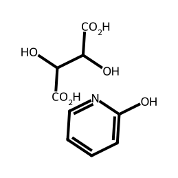 O=C(O)C(O)C(O)C(=O)O.Oc1ccccn1